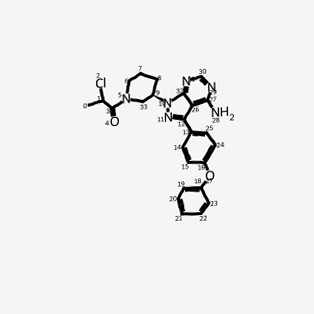 CC(Cl)C(=O)N1CCC[C@@H](n2nc(-c3ccc(Oc4ccccc4)cc3)c3c(N)ncnc32)C1